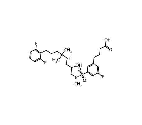 CN(CC(O)CNC(C)(C)CCCc1c(F)cccc1F)S(=O)(=O)c1cc(F)cc(CCCC(=O)O)c1